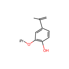 C=C(C)c1ccc(O)c(OC(C)C)c1